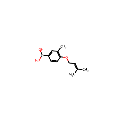 CC(C)=CCOc1ccc(B(O)O)cc1C